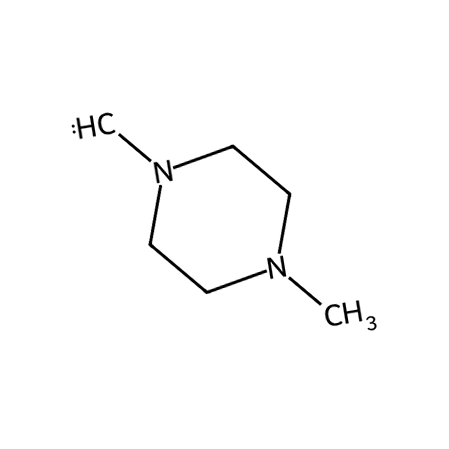 [CH]N1CCN(C)CC1